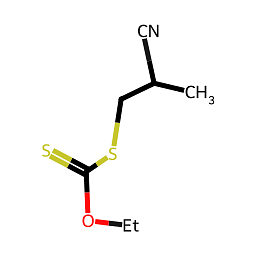 CCOC(=S)SCC(C)C#N